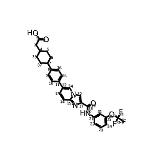 O=C(O)CC1CCC(c2ccc(-c3ccc4nc(C(=O)Nc5cccc(OC(F)(F)F)c5)cn4c3)cc2)CC1